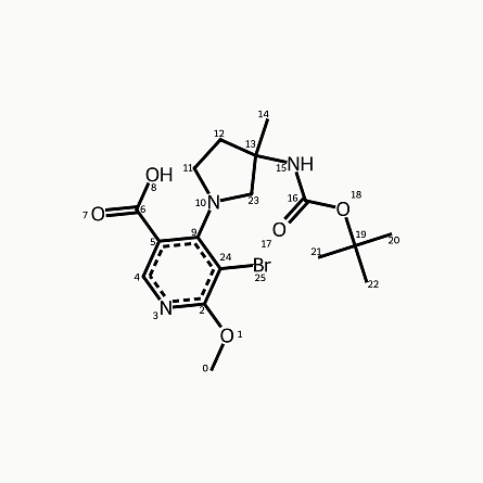 COc1ncc(C(=O)O)c(N2CCC(C)(NC(=O)OC(C)(C)C)C2)c1Br